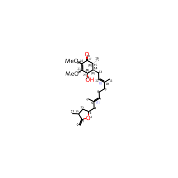 C=C1OC(C/C(C)=C/CC/C(C)=C/C[C@@H]2[C@@H](C)C(=O)C(OC)=C(OC)[C@@H]2O)CC1C